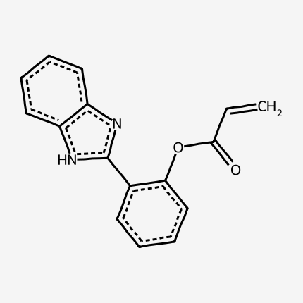 C=CC(=O)Oc1ccccc1-c1nc2ccccc2[nH]1